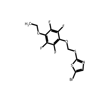 CCOc1c(F)c(F)c(OCSc2ncc(Br)s2)c(F)c1F